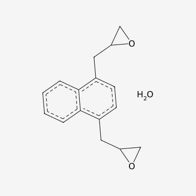 O.c1ccc2c(CC3CO3)ccc(CC3CO3)c2c1